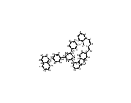 Cc1ccccc1/C=C\C=C\c1ccc2c(c1)oc1cccc(-c3nc(-c4ccccc4)nc(-c4ccc(-c5cccc6ccccc56)cc4)n3)c12